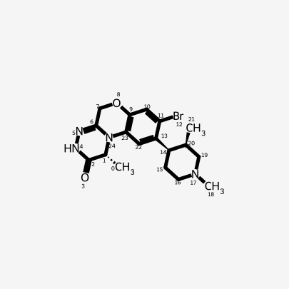 C[C@@H]1C(=O)NN=C2COc3cc(Br)c([C@@H]4CCN(C)C[C@@H]4C)cc3N21